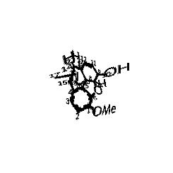 COc1ccc2c3c1O[C@H]1C(O)C=C[C@H]4[C@@H](C2)N(C)CC[C@]314